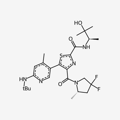 Cc1cc(NC(C)(C)C)ncc1-c1sc(C(=O)N[C@H](C)C(C)(C)O)nc1C(=O)N1CC(F)(F)C[C@@H]1C